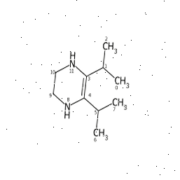 CC(C)C1=C(C(C)C)NCCN1